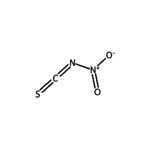 O=[N+]([O-])N=C=S